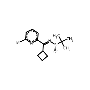 CC(C)(C)[S@@+]([O-])N=C(c1cccc(Br)n1)C1CCC1